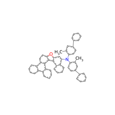 Cc1cc(-c2ccccc2)ccc1N(c1ccc(-c2ccccc2)cc1C)c1cc2oc3ccc4c5ccccc5c5ccccc5c4c3c2c2ccccc12